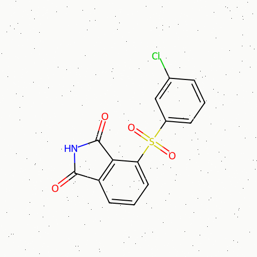 O=C1NC(=O)c2c1cccc2S(=O)(=O)c1cccc(Cl)c1